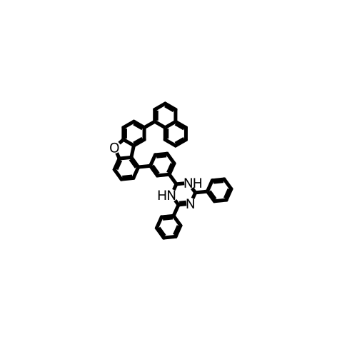 c1ccc(C2=NC(c3ccccc3)NC(c3cccc(-c4cccc5oc6ccc(-c7cccc8ccccc78)cc6c45)c3)N2)cc1